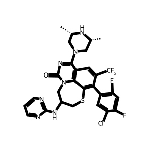 C[C@@H]1CN(c2nc(=O)n3c4c(c(-c5cc(Cl)c(F)cc5F)c(C(F)(F)F)cc24)SCC(Nc2ncccn2)C3)C[C@H](C)N1